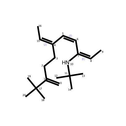 C=C(CCC(/C=C\C(=C/C)NC(C)(C)C)=C/C)C(C)(C)C